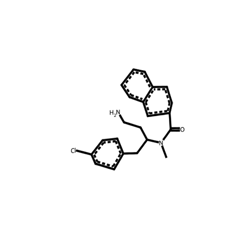 CN(C(=O)c1ccc2ccccc2c1)C(CCN)Cc1ccc(Cl)cc1